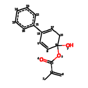 C=C(C)C(=O)OC1(O)C=CC(c2ccccc2)=CC1